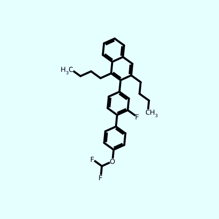 CCCCc1cc2ccccc2c(CCCC)c1-c1ccc(-c2ccc(OC(F)F)cc2)c(F)c1